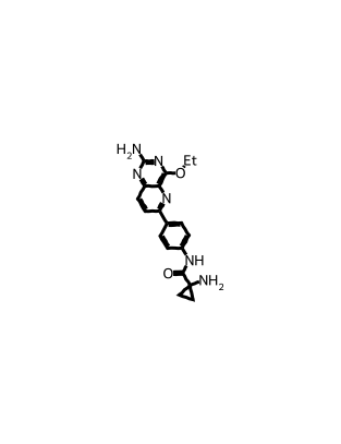 CCOc1nc(N)nc2ccc(-c3ccc(NC(=O)C4(N)CC4)cc3)nc12